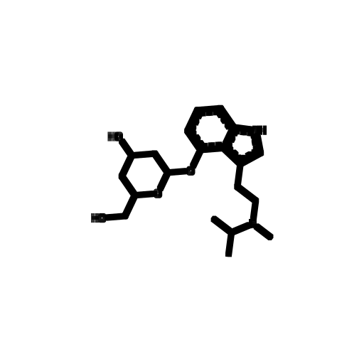 CC(C)N(C)CCc1c[nH]c2cccc(OC3CC(O)CC(CO)O3)c12